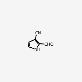 N#Cc1cc[nH]c1C=O